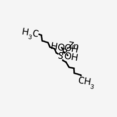 CCCCCCCS(CCCCCCC)=P(O)(O)O.[Zn]